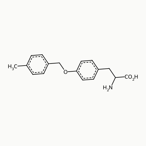 Cc1ccc(COc2ccc(CC(N)C(=O)O)cc2)cc1